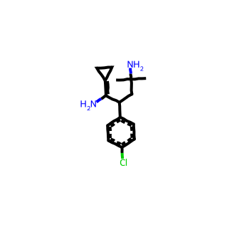 CC(C)(N)CC(C(N)=C1CC1)c1ccc(Cl)cc1